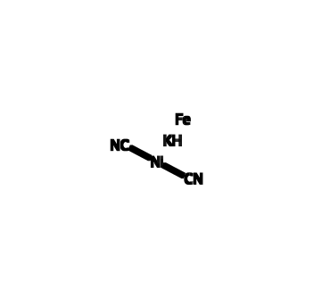 N#[C][Ni][C]#N.[Fe].[KH]